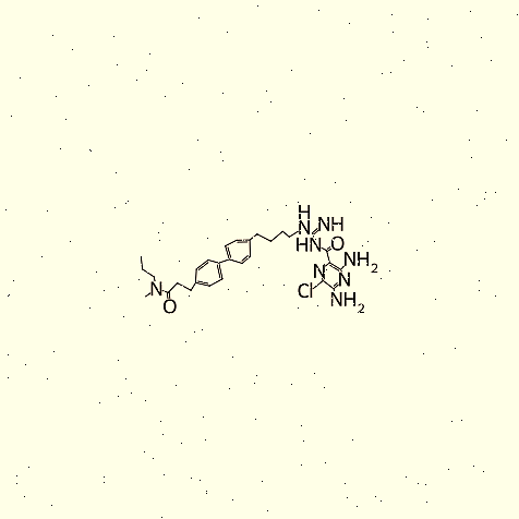 CCCN(C)C(=O)CCc1ccc(-c2ccc(CCCCNC(=N)NC(=O)c3nc(Cl)c(N)nc3N)cc2)cc1